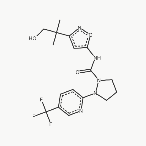 CC(C)(CO)c1cc(NC(=O)N2CCCN2c2ccc(C(F)(F)F)cn2)on1